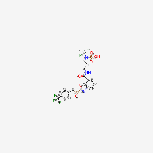 O=C(NCCCN(C(F)(F)F)S(=O)(=O)O)c1cccc2nc([S+]([O-])Cc3ccc(C(F)(F)F)cc3)oc12